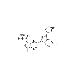 CC(C)(C)NC(=O)c1c[nH]c2ncc(-c3nn(C4CCNC4)c4cc(F)ccc34)nc12